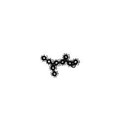 c1ccc(-c2ccc(-n3c4ccc(-c5ccccc5)cc4c4cc(-c5ccc6c(c5)c5ccccc5n6-c5ccc6oc7ccccc7c6c5)ccc43)cc2)cc1